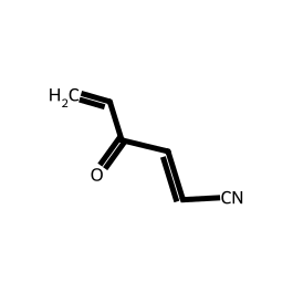 C=CC(=O)C=CC#N